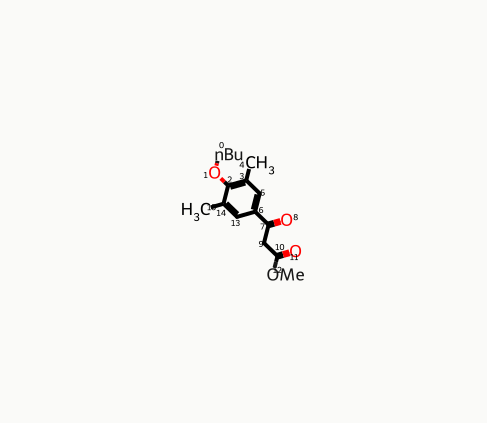 CCCCOc1c(C)cc(C(=O)CC(=O)OC)cc1C